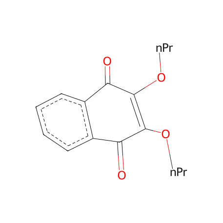 CCCOC1=C(OCCC)C(=O)c2ccccc2C1=O